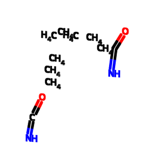 C.C.C.C.C.C.C.C.N=C=O.N=C=O